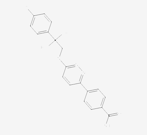 CC(C)(CNc1ccc(-c2ccc(C(N)=O)cc2)nn1)c1ccc(F)cc1